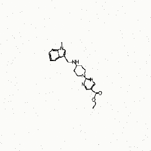 CCOC(=O)c1cnc(N2CCC(NCc3cn(C)c4ccccc34)CC2)nc1